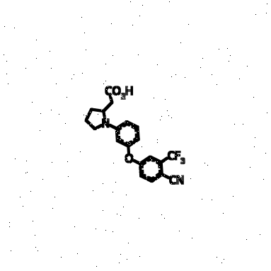 N#Cc1ccc(Oc2cccc(N3CCCC3CC(=O)O)c2)cc1C(F)(F)F